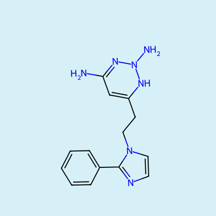 NC1=NN(N)NC(CCn2ccnc2-c2ccccc2)=C1